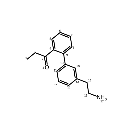 CCC(=O)c1ccccc1-c1cccc(CCN)c1